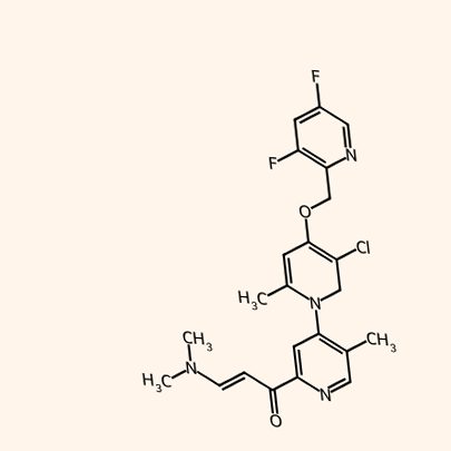 CC1=CC(OCc2ncc(F)cc2F)=C(Cl)CN1c1cc(C(=O)C=CN(C)C)ncc1C